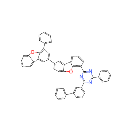 c1ccc(-c2cccc(-c3nc(-c4ccccc4)nc(-c4cccc5c4oc4ccc(-c6cc(-c7ccccc7)c7oc8ccccc8c7c6)cc45)n3)c2)cc1